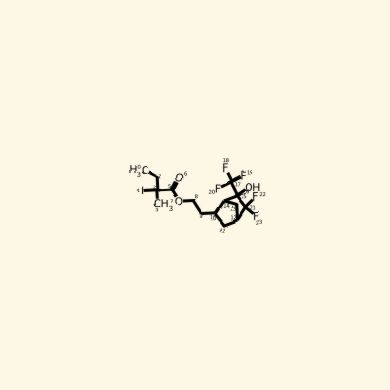 CCC(C)(I)C(=O)OCCC1CC2CC1C(O)(C(F)(F)F)C2(F)F